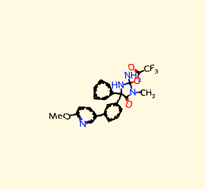 COc1ccc(-c2cccc(C3(c4ccccc4)NC(N)(OC(=O)C(F)(F)F)N(C)C3=O)c2)cn1